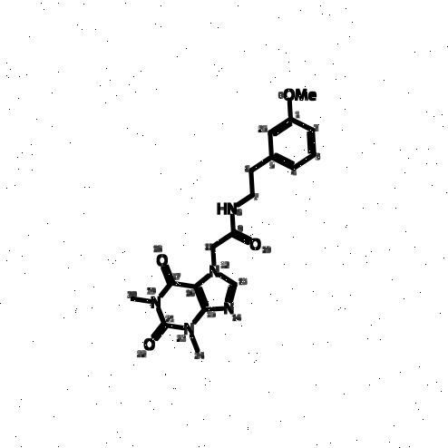 COc1cccc(CCNC(=O)Cn2cnc3c2c(=O)n(C)c(=O)n3C)c1